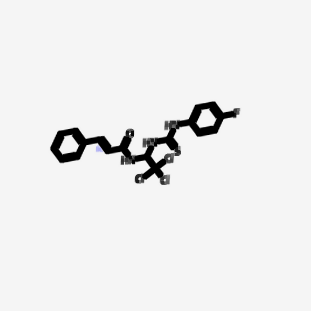 O=C(/C=C/c1ccccc1)NC(NC(=S)Nc1ccc(F)cc1)C(Cl)(Cl)Cl